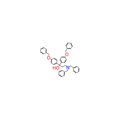 OC(CCN(Cc1ccccc1)Cc1ccccc1)(c1ccc(OCc2ccccc2)cc1)c1ccc(OCc2ccccc2)cc1